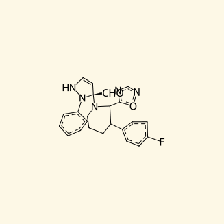 O=C[C@]1(N2CCCC(c3ccc(F)cc3)C2c2ncno2)C=CNN1c1ccccc1